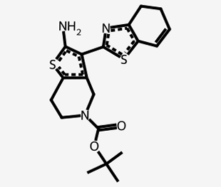 CC(C)(C)OC(=O)N1CCc2sc(N)c(-c3nc4c(s3)C=CCC4)c2C1